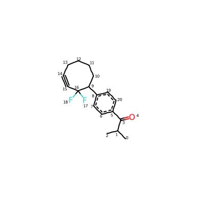 CC(C)C(=O)c1ccc(C2CCCCC#CC2(F)F)cc1